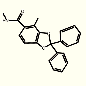 CNC(=O)c1ccc2c(c1C)OC(c1ccccc1)(c1ccccc1)O2